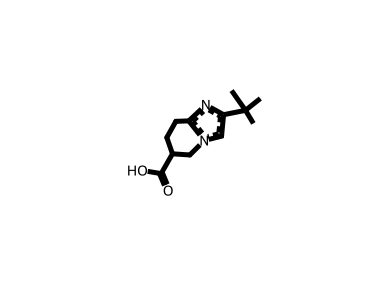 CC(C)(C)c1cn2c(n1)CCC(C(=O)O)C2